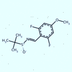 COc1cc(F)c(/C=N/[S@+]([O-])C(C)(C)C)c(F)c1